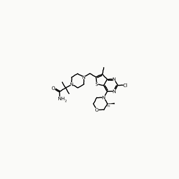 Cc1c(CN2CCN(C(C)(C)C(N)=O)CC2)sc2c(N3CCOC[C@@H]3C)nc(Cl)nc12